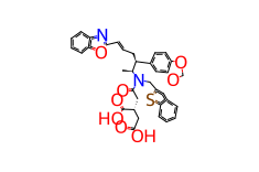 C[C@@H]([C@@H](C/C=C/c1nc2ccccc2o1)c1ccc2c(c1)OCO2)N(Cc1cc2ccccc2s1)C(=O)C[C@H](CC(=O)O)C(=O)O